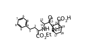 CCOC(=O)C(CCc1ccccc1)NC(C)C(=O)N1C2CCC(CC2)C1C(=O)O